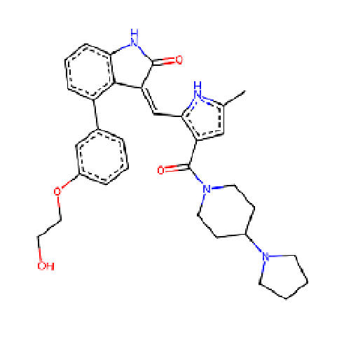 Cc1cc(C(=O)N2CCC(N3CCCC3)CC2)c(/C=C2\C(=O)Nc3cccc(-c4cccc(OCCO)c4)c32)[nH]1